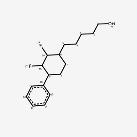 OCCCCCC1CCC(c2ccccc2)C(F)C1F